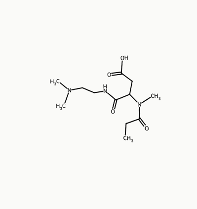 CCC(=O)N(C)C(CC(=O)O)C(=O)NCCN(C)C